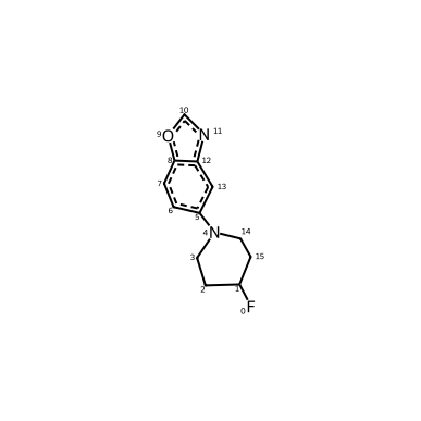 FC1CCN(c2ccc3ocnc3c2)CC1